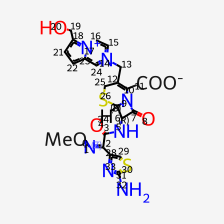 CO/N=C(\C(=O)N[C@@H]1C(=O)N2C(C(=O)[O-])=C(Cn3cc[n+]4c(CO)ccc-4c3)CS[C@@H]12)c1csc(N)n1